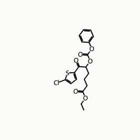 CCOC(=O)CCCC(OC(=O)Oc1ccccc1)C(=O)c1ccc(Cl)s1